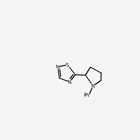 CC(C)N1CCCC1c1ncns1